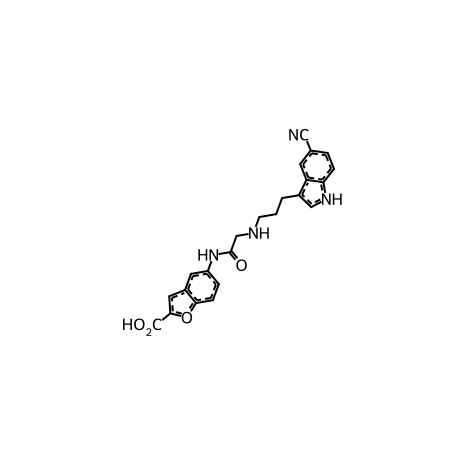 N#Cc1ccc2[nH]cc(CCCNCC(=O)Nc3ccc4oc(C(=O)O)cc4c3)c2c1